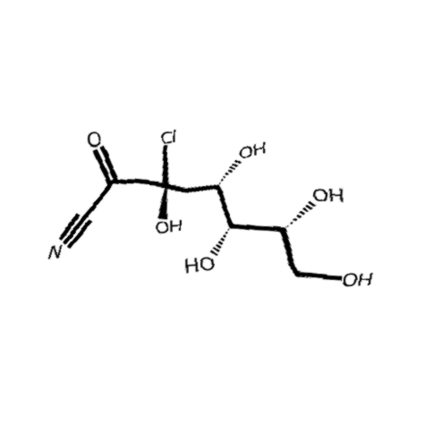 N#CC(=O)[C@](O)(Cl)[C@H](O)[C@@H](O)[C@H](O)CO